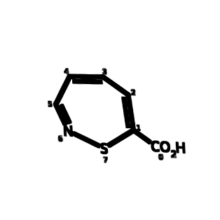 O=C(O)C1=CC=CC=NS1